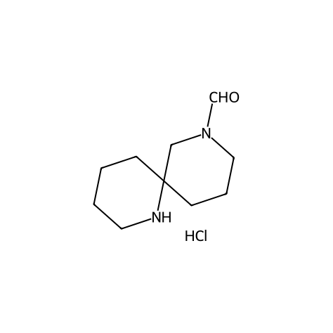 Cl.O=CN1CCCC2(CCCCN2)C1